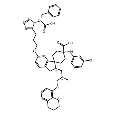 C[C@@H](COc1ccnc2c1[C@H](C)CCC2)C[C@H]1Cc2ccc(OCCCc3nnnn3[C@H](Cc3ccccc3)C(=O)O)cc2C12CCC(Nc1cccc(Cl)c1)(C(=O)O)CC2